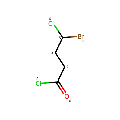 O=C(Cl)CCC(Cl)Br